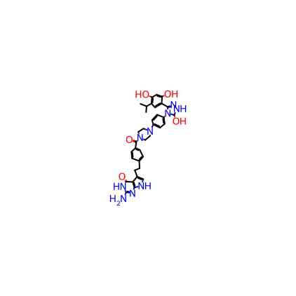 CC(C)c1cc(C2=NNC(O)N2c2ccc(N3CCN(C(=O)c4ccc(CCc5c[nH]c6nc(N)[nH]c(=O)c56)cc4)CC3)cc2)c(O)cc1O